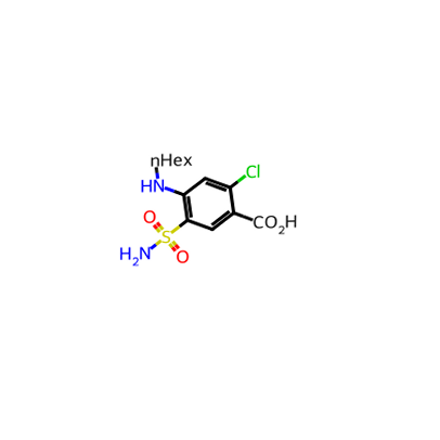 CCCCCCNc1cc(Cl)c(C(=O)O)cc1S(N)(=O)=O